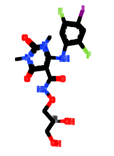 Cn1c(Nc2cc(F)c(I)cc2F)c(C(=O)NOC[C@H](O)CO)c(=O)n(C)c1=O